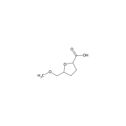 COCC1CCC(C(=O)O)O1